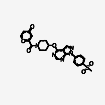 CS(=O)(=O)c1ccc(-n2ncc3c(OC4CCN(C(=O)c5cc(=O)cco5)CC4)ncnc32)cc1